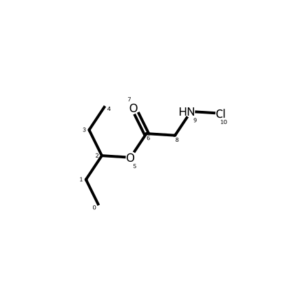 CCC(CC)OC(=O)CNCl